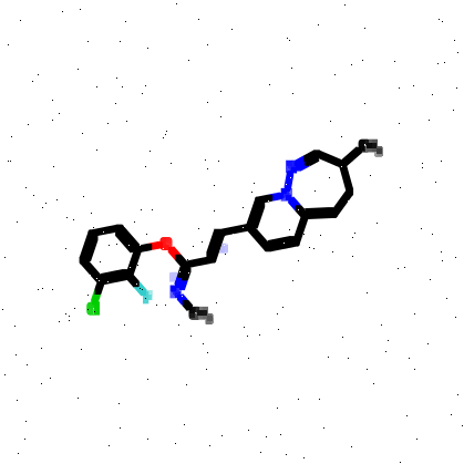 C/N=C(\C=C\C1=CN2N=CC(C)CC=C2C=C1)Oc1cccc(Cl)c1F